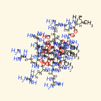 CC(C)C[C@H](NC(=O)[C@@H](NC(=O)CNC(=O)[C@@H]1CCCN1C(=O)[C@@H](N)CC(C)C)C(C)C)C(=O)N1CCC[C@H]1C(=O)N[C@H](C(=O)N[C@@H](C)C(=O)N[C@@H](CCCNC(=N)N)C(=O)N[C@@H](CCCNC(=N)N)C(=O)N[C@@H](CCCNC(=N)N)C(=O)N[C@@H](CCCNC(=N)N)C(=O)N[C@@H](CCCNC(=N)N)C(=O)N[C@@H](CCCNC(=N)N)C(=O)N[C@@H](CCCNC(=N)N)C(=O)N[C@@H](CCCNC(=N)N)C(=O)O)C(C)C